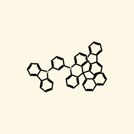 c1cc(N2c3ccccc3C(c3cccc4ccccc34)(c3cccc4c3oc3ccccc34)c3ccccc32)cc(-n2c3ccccc3c3ccccc32)c1